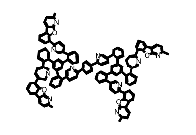 Cc1ccc2c(n1)oc1c(C3=CC=C(c4ccccc4-c4cc(-c5ccccc5-c5ccc(-c6ccc(-c7ccc(-c8ccccc8-c8cc(-c9ccccc9C9=CCC=C(c%10cccc%11c%10oc%10nc(C)ccc%10%11)N=C9)cc(-c9ccccc9-c9ccc(-c%10cccc%11c%10oc%10nc(C)ccc%10%11)nc9)c8)cn7)cc6)nc5)cc(-c5ccccc5-c5ccc(-c6cccc7c6oc6nc(C)ccc67)nc5)c4)C=NC3)cccc12